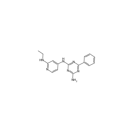 CCNc1cc(Nc2nc(N)nc(-c3ccccc3)n2)ccn1